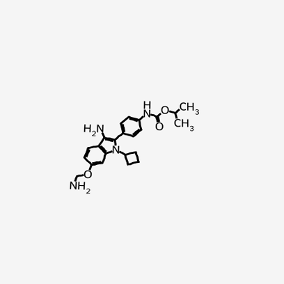 CC(C)OC(=O)Nc1ccc(-c2c(N)c3ccc(OCN)cc3n2C2CCC2)cc1